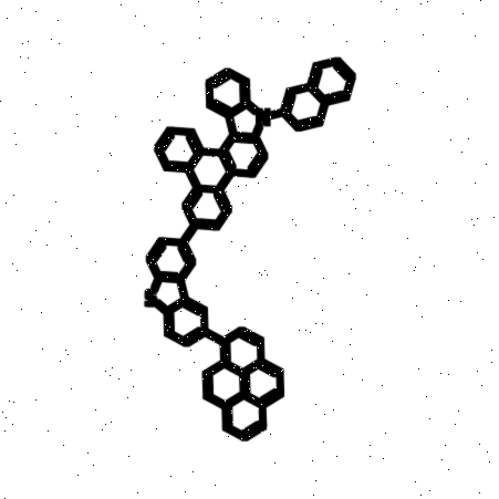 c1ccc2cc(-n3c4ccccc4c4c5c6ccccc6c6cc(-c7ccc8sc9ccc(-c%10ccc%11ccc%12cccc%13ccc%10c%11c%12%13)cc9c8c7)ccc6c5ccc43)ccc2c1